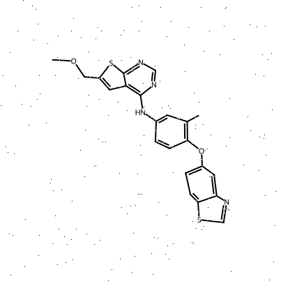 COCc1cc2c(Nc3ccc(Oc4ccc5scnc5c4)c(C)c3)ncnc2s1